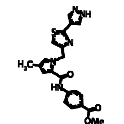 COC(=O)c1ccc(NC(=O)c2cc(C)cn2Cc2csc(-c3cn[nH]c3)n2)cc1